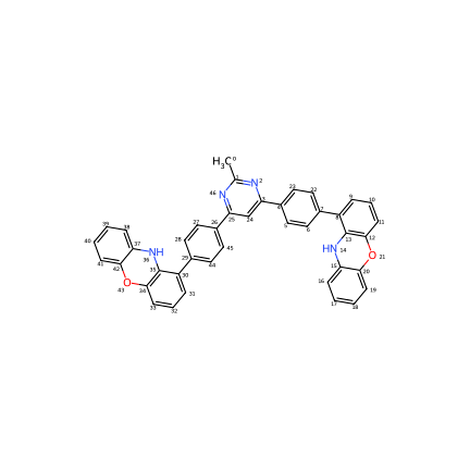 Cc1nc(-c2ccc(-c3cccc4c3Nc3ccccc3O4)cc2)cc(-c2ccc(-c3cccc4c3Nc3ccccc3O4)cc2)n1